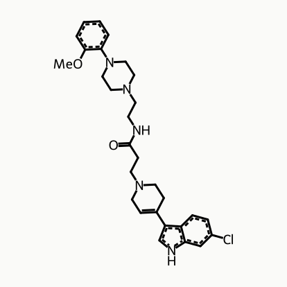 COc1ccccc1N1CCN(CCNC(=O)CCN2CC=C(c3c[nH]c4cc(Cl)ccc34)CC2)CC1